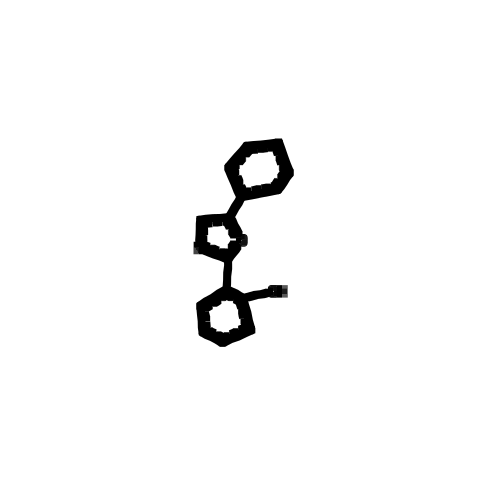 Oc1ccccc1-c1ncc(-c2ccccc2)o1